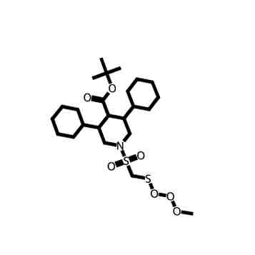 COOOSCS(=O)(=O)N1CC(C2CCCCC2)C(C(=O)OC(C)(C)C)C(C2CCCCC2)C1